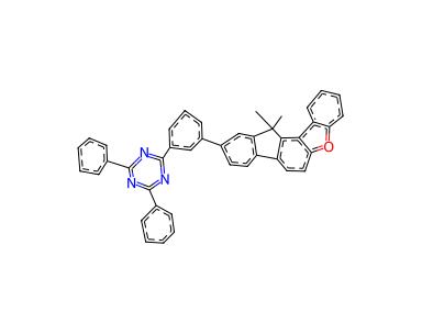 CC1(C)c2cc(-c3cccc(-c4nc(-c5ccccc5)nc(-c5ccccc5)n4)c3)ccc2-c2ccc3oc4ccccc4c3c21